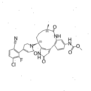 COC(=O)Nc1ccc2c(c1)NC(=O)[C@H](C)CCC[C@H](N1CCC(c3c(C#N)ccc(Cl)c3F)=CC1=O)c1cc-2cc(=O)[nH]1